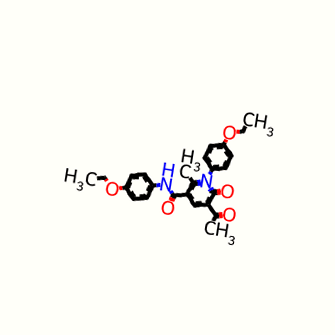 CCOc1ccc(NC(=O)c2cc(C(C)=O)c(=O)n(-c3ccc(OCC)cc3)c2C)cc1